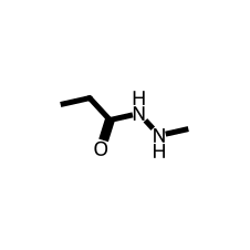 CCC(=O)NNC